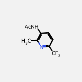 CC(=O)Nc1ccc(C(F)(F)F)nc1C